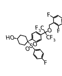 O=S(=O)(c1ccc(F)cc1)[C@]1(c2ccc(C(OCc3c(F)cccc3F)(C(F)(F)F)C(F)(F)F)cc2)CC[C@@H](O)CC1